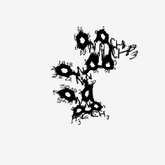 CC1(C)c2cccc3c2-n2c4c(cc(-c5nc(-c6ccccc6)nc(-c6cc7c8c(c6)c6cccc9c6n8-c6c(cccc6C9(C)C)N7c6ccccc6)n5)cc4c4cccc1c42)N3c1ccccc1